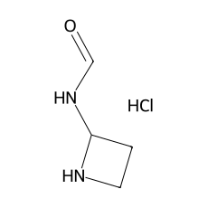 Cl.O=CNC1CCN1